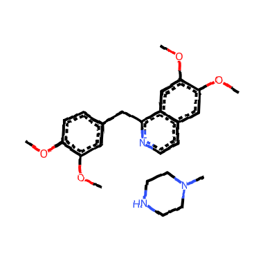 CN1CCNCC1.COc1ccc(Cc2nccc3cc(OC)c(OC)cc23)cc1OC